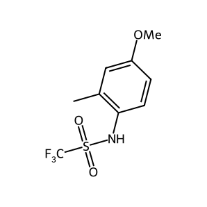 COc1ccc(NS(=O)(=O)C(F)(F)F)c(C)c1